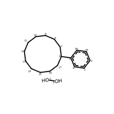 OO.c1ccc(C2CCCCCCCCCCC2)cc1